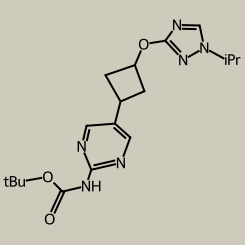 CC(C)n1cnc(OC2CC(c3cnc(NC(=O)OC(C)(C)C)nc3)C2)n1